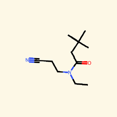 CCN(CCC#N)C(=O)CC(C)(C)C